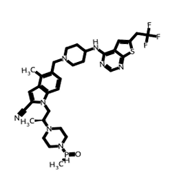 Cc1c(CN2CCC(Nc3ncnc4sc(CC(F)(F)F)cc34)CC2)ccc2c1cc(C#N)n2C[C@H](C)N1CCN([PH](C)=O)CC1